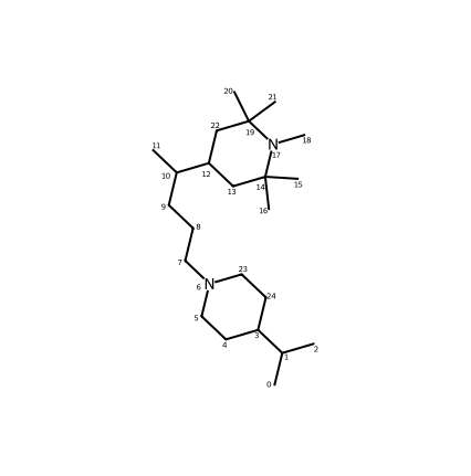 CC(C)C1CCN(CCCC(C)C2CC(C)(C)N(C)C(C)(C)C2)CC1